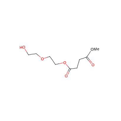 COC(=O)CCC(=O)OCCOCCO